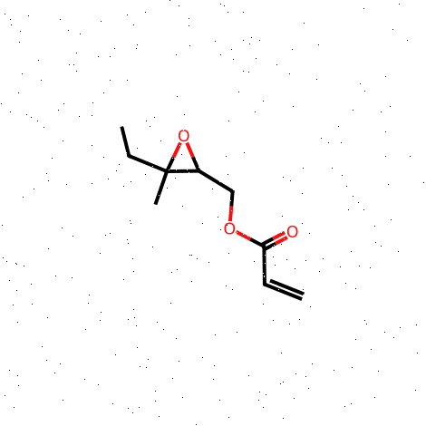 C=CC(=O)OCC1OC1(C)CC